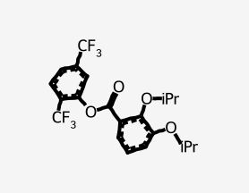 CC(C)Oc1cccc(C(=O)Oc2cc(C(F)(F)F)ccc2C(F)(F)F)c1OC(C)C